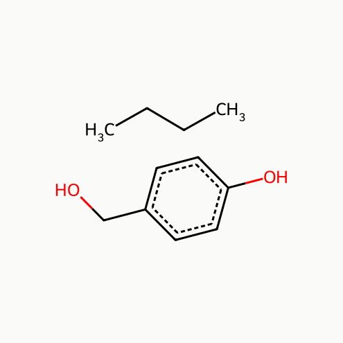 CCCC.OCc1ccc(O)cc1